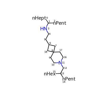 CCCCCCCC(CCCCC)NCCC1CC2(CCN(CC(CCCCC)CCCCCC)CC2)C1